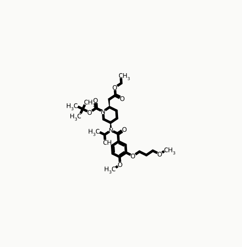 CCOC(=O)C[C@H]1CC[C@@H](N(C(=O)c2ccc(OC)c(OCCCOC)c2)C(C)C)CN1C(=O)OC(C)(C)C